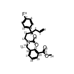 C=CCC1(c2ccc(F)cc2)CCN([C@@H](C)c2cccc(C(=O)OC)c2)C(=O)O1